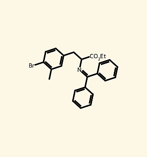 CCOC(=O)C(Cc1ccc(Br)c(C)c1)N=C(c1ccccc1)c1ccccc1